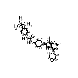 CC(C)(C)c1ccc(NC(=O)NC2CCN(c3nc4c(N5CCOCC5)ncnc4[nH]3)CC2)nc1